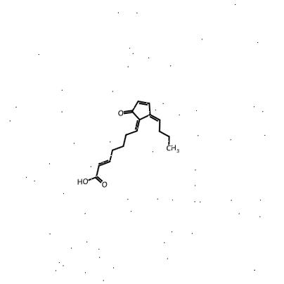 CCCC=C1C=CC(=O)C1=CCCCC=CC(=O)O